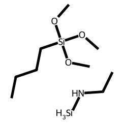 CCCC[Si](OC)(OC)OC.CCN[SiH3]